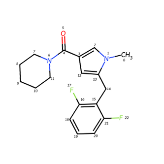 Cn1cc(C(=O)N2CCCCC2)cc1Cc1c(F)cccc1F